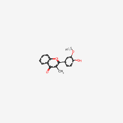 Cc1c(-c2ccc(O)c(OS(=O)(=O)O)c2)oc2ccccc2c1=O